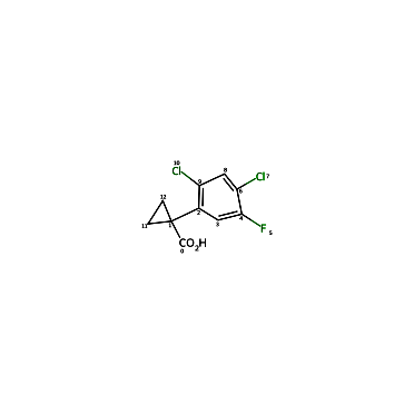 O=C(O)C1(c2cc(F)c(Cl)cc2Cl)CC1